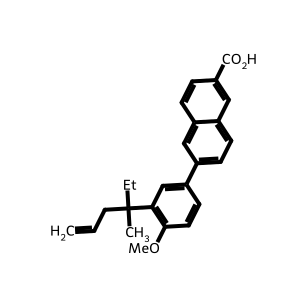 C=CCC(C)(CC)c1cc(-c2ccc3cc(C(=O)O)ccc3c2)ccc1OC